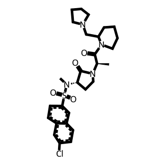 C[C@H](C(=O)N1CCCCC1CN1CCCC1)N1CC[C@H](N(C)S(=O)(=O)c2ccc3cc(Cl)ccc3c2)C1=O